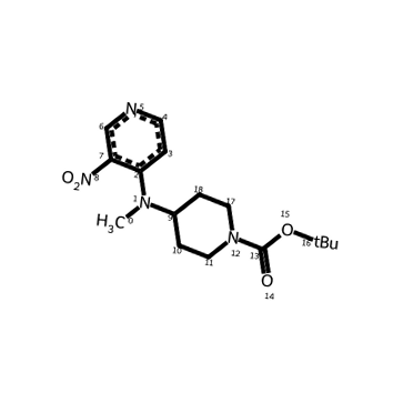 CN(c1ccncc1[N+](=O)[O-])C1CCN(C(=O)OC(C)(C)C)CC1